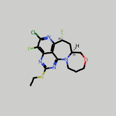 CCSc1nc2c3c(nc(Cl)c(F)c3n1)[C@H](F)C[C@H]1COCCCN21